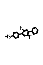 Fc1cc(-c2ccc(S)cc2)c(F)cc1-c1ccccc1